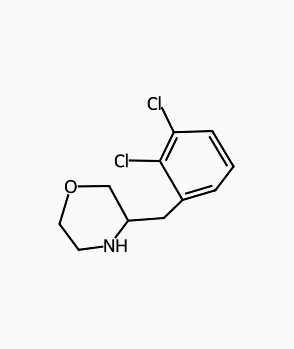 Clc1cccc(CC2COCCN2)c1Cl